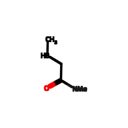 CBCC(=O)NC